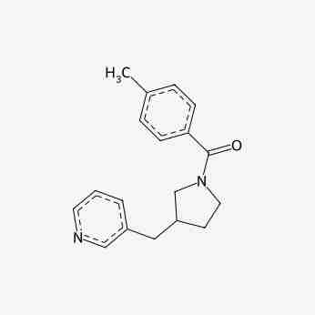 Cc1ccc(C(=O)N2CCC(Cc3cccnc3)C2)cc1